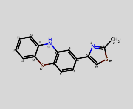 [CH2]c1nc(-c2ccc3c(c2)Nc2ccccc2S3)cs1